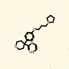 C=C(N/C=C\S)C1(c2ccc(OCCCN3CCCC3)cc2)CCOCC1